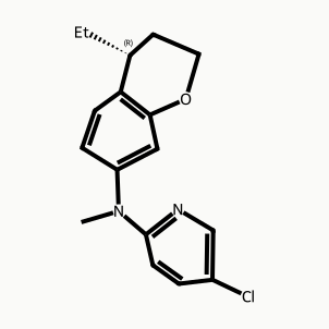 CC[C@@H]1CCOc2cc(N(C)c3ccc(Cl)cn3)ccc21